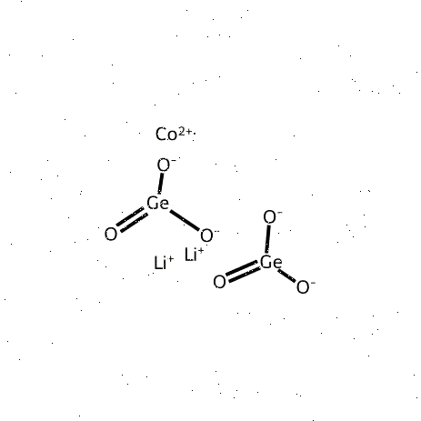 [Co+2].[Li+].[Li+].[O]=[Ge]([O-])[O-].[O]=[Ge]([O-])[O-]